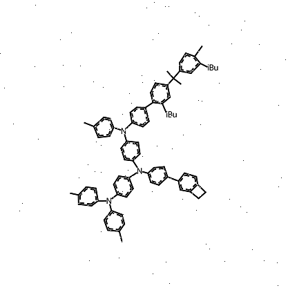 CCC(C)c1cc(C(C)(C)c2ccc(-c3ccc(N(c4ccc(C)cc4)c4ccc(N(c5ccc(-c6ccc7c(c6)CC7)cc5)c5ccc(N(c6ccc(C)cc6)c6ccc(C)cc6)cc5)cc4)cc3)c(C(C)CC)c2)ccc1C